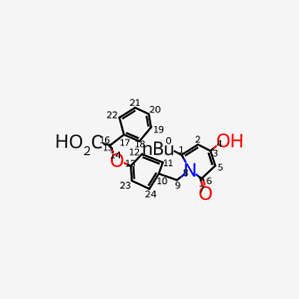 CCCCc1cc(O)cc(=O)n1Cc1ccc(OC(C(=O)O)c2ccccc2)cc1